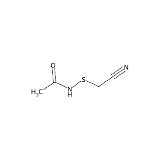 CC(=O)NSCC#N